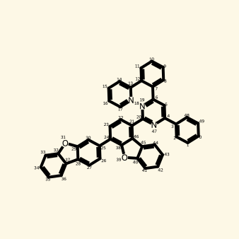 c1ccc(-c2cc(-c3ccccc3-c3ccccn3)nc(-c3ccc(-c4ccc5c(c4)oc4ccccc45)c4oc5ccccc5c34)n2)cc1